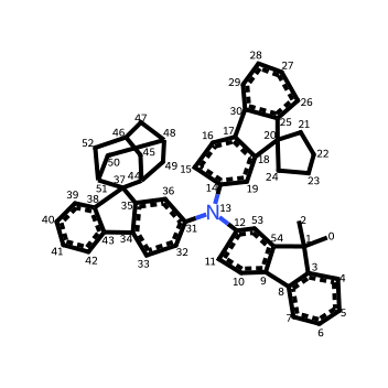 CC1(C)c2ccccc2-c2ccc(N(c3ccc4c(c3)C3(CCCC3)c3ccccc3-4)c3ccc4c(c3)C3(c5ccccc5-4)C4CC5CC(C4)CC3C5)cc21